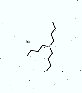 CCCCP(CCCC)CCCC.[In]